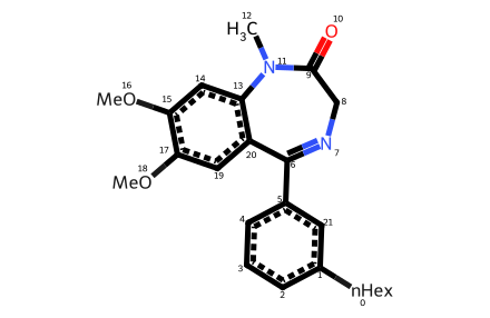 CCCCCCc1cccc(C2=NCC(=O)N(C)c3cc(OC)c(OC)cc32)c1